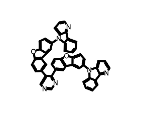 c1ccc2c(c1)c1ncccc1n2-c1ccc2oc3ccc(-c4cncnc4-c4ccc5oc6ccc(-n7c8ccccc8c8ncccc87)cc6c5c4)cc3c2c1